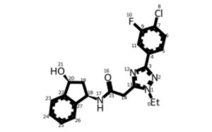 CCn1nc(-c2ccc(Cl)c(F)c2)nc1CC(=O)N[C@@H]1C[C@H](O)c2ccccc21